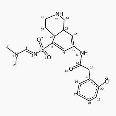 CN(C)/C=N/S(=O)(=O)C1=CC(NC(=O)Cc2ccccc2Cl)=CC2CNCCC12